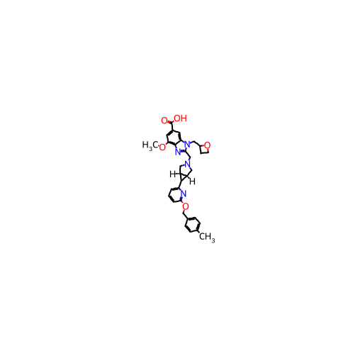 COc1cc(C(=O)O)cc2c1nc(CN1C[C@@H]3C(c4cccc(OCc5ccc(C)cc5)n4)[C@@H]3C1)n2CC1CCO1